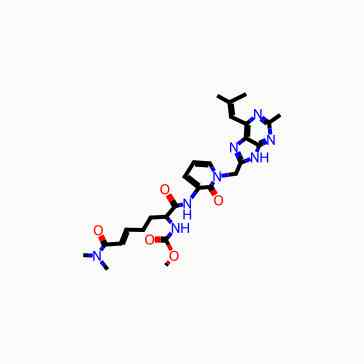 COC(=O)NC(CCC=CC(=O)N(C)C)C(=O)Nc1cccn(Cc2nc3c(C=C(C)C)nc(C)nc3[nH]2)c1=O